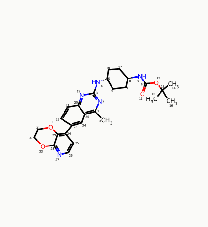 Cc1nc(N[C@H]2CC[C@H](NC(=O)OC(C)(C)C)CC2)nc2ccc(-c3ccnc4c3OCCO4)cc12